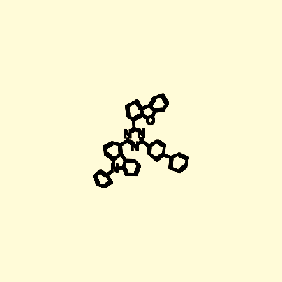 c1ccc(-c2ccc(-c3nc(-c4cccc5c4oc4ccccc45)nc(-c4cccc5c4c4ccccc4n5-c4ccccc4)n3)cc2)cc1